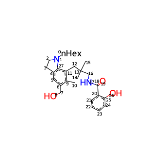 CCCCCCN1CCc2cc(CO)c(C)c(CC(C)(C)CNC(=O)c3ccccc3O)c21